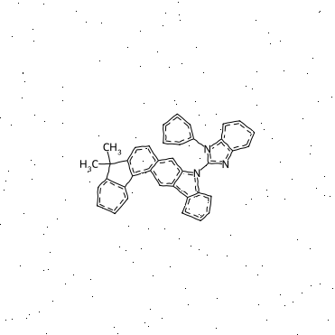 CC1(C)c2ccccc2-c2c1ccc1cc3c(cc21)c1ccccc1n3-c1nc2ccccc2n1-c1ccccc1